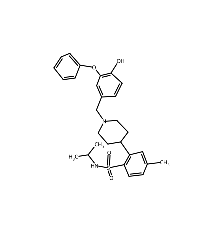 Cc1ccc(S(=O)(=O)NC(C)C)c(C2CCN(Cc3ccc(O)c(Oc4ccccc4)c3)CC2)c1